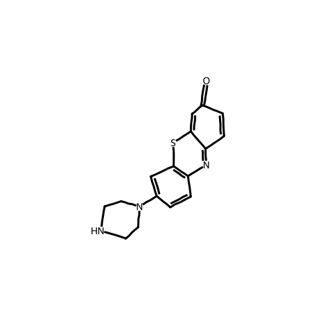 O=c1ccc2nc3ccc(N4CCNCC4)cc3sc-2c1